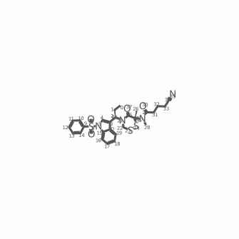 CC[C@H](c1cn(S(=O)(=O)c2ccccc2)c2ccccc12)N1CSS[C@@](C)(N(C)C(=O)CCCC#N)C1=O